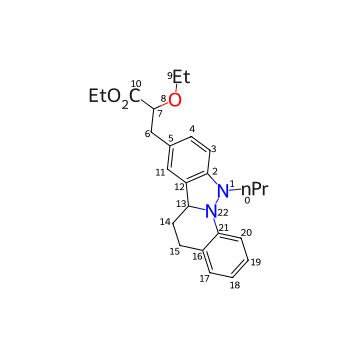 CCCN1c2ccc(CC(OCC)C(=O)OCC)cc2C2CCc3ccccc3N21